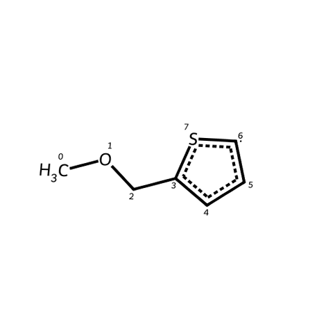 COCc1cc[c]s1